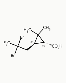 CC1(C)[C@H](CC(Br)(Br)C(F)(F)F)[C@H]1C(=O)O